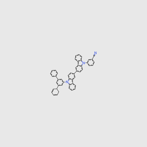 N#Cc1cccc(-n2c3ccccc3c3cc(-c4ccc5c(c4)c4ccccc4n5-c4cc(-c5ccccc5)cc(C5C=CC=CC5)c4)ccc32)c1